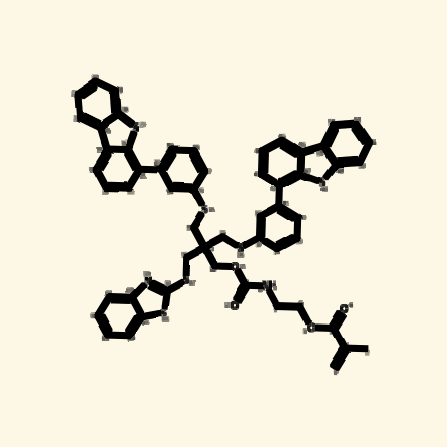 C=C(C)C(=O)OCCNC(=O)OCC(CSc1cccc(-c2cccc3c2sc2ccccc23)c1)(CSc1cccc(-c2cccc3c2sc2ccccc23)c1)CSc1nc2ccccc2s1